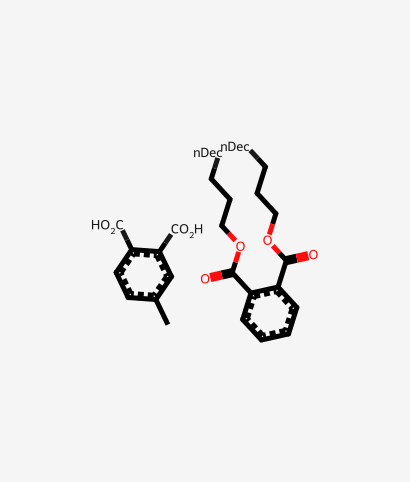 CCCCCCCCCCCCCOC(=O)c1ccccc1C(=O)OCCCCCCCCCCCCC.Cc1ccc(C(=O)O)c(C(=O)O)c1